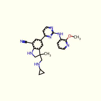 COc1ncccc1Nc1nccc(-c2cc(C#N)c3c(c2)C(C)(CNC2CC2)CN3)n1